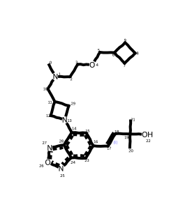 CN(CCOCC1CCC1)CC1CN(c2cc(/C=C/C(C)(C)O)cc3nonc23)C1